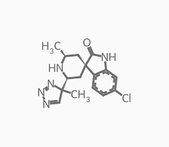 C[C@H]1C[C@@]2(C[C@@H](C3(C)C=NN=N3)N1)C(=O)Nc1cc(Cl)ccc12